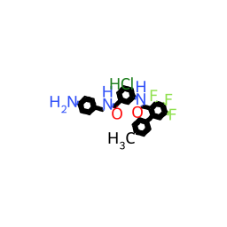 Cc1ccc(-c2cc(F)c(F)c(F)c2C(=O)Nc2cccc(C(=O)NCc3ccc(N)cc3)c2)cc1.Cl